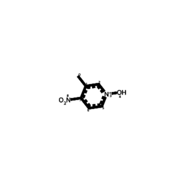 Cc1c[n+](O)ccc1[N+](=O)[O-]